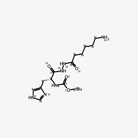 CC(C)(C)OC(=O)N[C@H](Cc1c[nH]cn1)C(=O)NNC(=O)CCCCCN